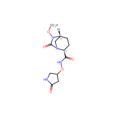 O=C1CC(ONC(=O)[C@@H]2CC[C@@H]3CN2C(=O)N3OS(=O)(=O)O)CN1